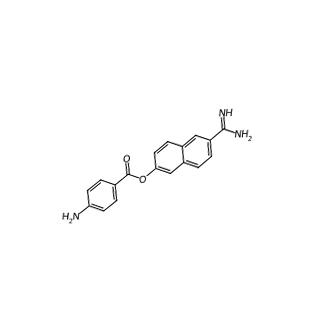 N=C(N)c1ccc2cc(OC(=O)c3ccc(N)cc3)ccc2c1